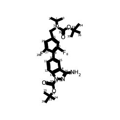 CC(C)N(Cc1cc(F)c(-c2ccc3c(c2)c(N)nn3C(=O)OC(C)(C)C)c(F)c1)C(=O)OC(C)(C)C